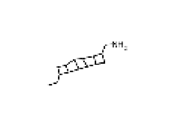 CCC1CC2C1C1C2C2C3C(CN)CC3C12